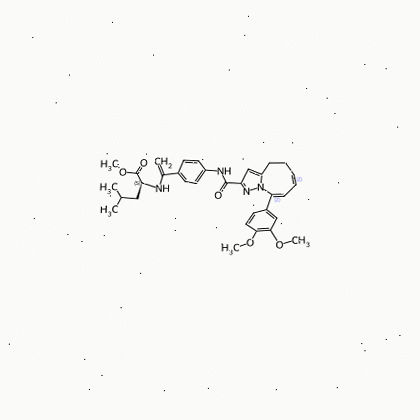 C=C(N[C@@H](CC(C)C)C(=O)OC)c1ccc(NC(=O)c2cc3n(n2)/C(c2ccc(OC)c(OC)c2)=C\C=C/CC3)cc1